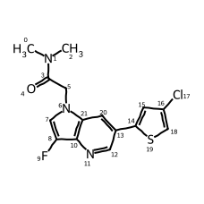 CN(C)C(=O)Cn1cc(F)c2ncc(-c3cc(Cl)cs3)cc21